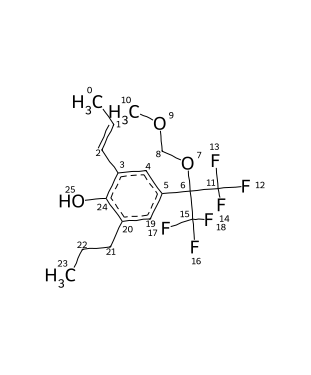 CC=Cc1cc(C(OCOC)(C(F)(F)F)C(F)(F)F)cc(CCC)c1O